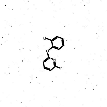 Clc1cccc(Oc2ccccc2Cl)n1